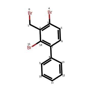 BrCc1c(Br)ccc(-c2ccccc2)c1Br